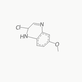 COc1ccc2c(c1)N=CC(Cl)N2